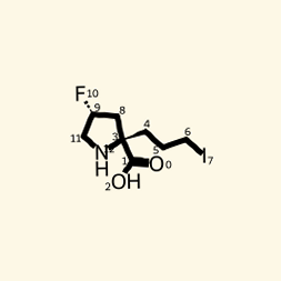 O=C(O)[C@@]1(CCCI)C[C@@H](F)CN1